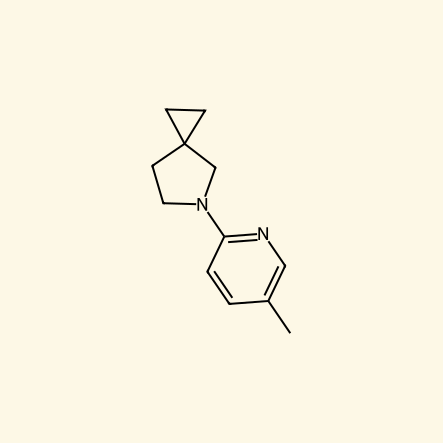 Cc1ccc(N2CCC3(CC3)C2)nc1